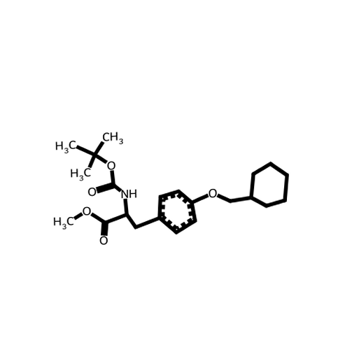 COC(=O)C(Cc1ccc(OCC2CCCCC2)cc1)NC(=O)OC(C)(C)C